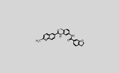 Cc1ccc2cc(C(=O)Nc3cc(NC(=O)c4ccc5c(c4)OCC5)ccc3F)ccc2n1